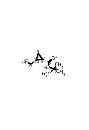 CC(C)(C)OC(=O)[C@H]1C[C@@H]1CF